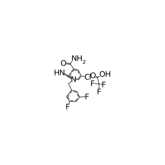 N=c1c(C(N)=O)cc(Cl)cn1Cc1cc(F)cc(F)c1.O=C(O)C(F)(F)F